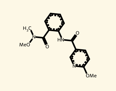 COc1ccc(C(=O)Nc2ccccc2C(=O)N(C)OC)cn1